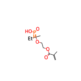 C=C(C)C(=O)OCCOC(C)(CC)[PH](=O)O